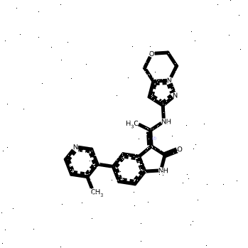 C/C(Nc1cc2n(n1)CCOC2)=C1/C(=O)Nc2ccc(-c3cnccc3C)cc21